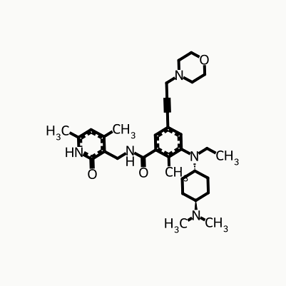 CCN(c1cc(C#CCN2CCOCC2)cc(C(=O)NCc2c(C)cc(C)[nH]c2=O)c1C)[C@H]1CC[C@H](N(C)C)CC1